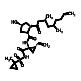 C=CCCC(C)C[C@@H](C)CC(=O)N1C[C@H](O)C[C@H]1C(=O)N[C@]1(C(=O)NS(=O)(=O)C2(C)CC2)C[C@H]1C=C